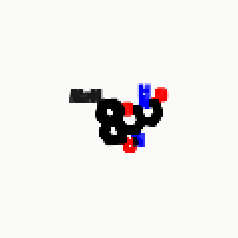 CNc1ccc2c(ccc3onc(C4CCC(=O)NC4=O)c32)c1